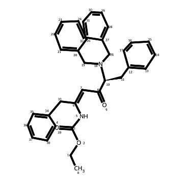 CCOC(=O)NC(=CC(=O)[C@H](Cc1ccccc1)N(Cc1ccccc1)Cc1ccccc1)Cc1ccccc1